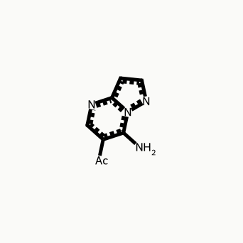 CC(=O)c1cnc2ccnn2c1N